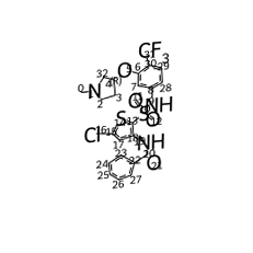 CN1CC[C@@H](Oc2cc(NS(=O)(=O)c3sc(Cl)cc3NC(=O)c3ccccc3)ccc2C(F)(F)F)C1